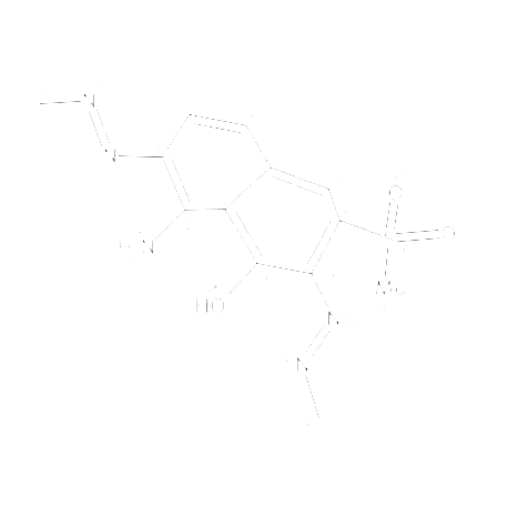 CN=Nc1ccc2cc([S](=O)(=O)[Mo])c(N=NC)c(O)c2c1N